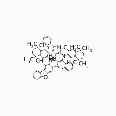 Cc1cc2c(cc1N1c3ccc(-c4ccccc4)cc3Bc3c(-c4cc5oc6ccccc6c5cc4Nc4ccc5c(c4)C(C)(C)CCC5(C)C)cc4ccccc4c31)C(C)(C)CCC2(C)C